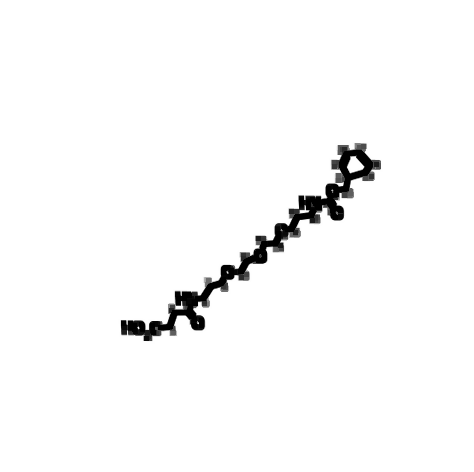 O=C(O)CCC(=O)NCCCOCCOCCOCCCNC(=O)OCC1C=CC=CC1